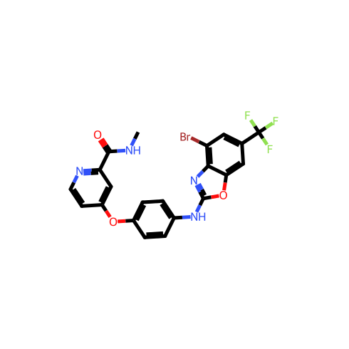 CNC(=O)c1cc(Oc2ccc(Nc3nc4c(Br)cc(C(F)(F)F)cc4o3)cc2)ccn1